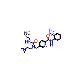 [C-]#[N+]CCNC(=O)N(CCN(C)C)Cc1ccc(C(=O)Nc2ccccc2N)nc1